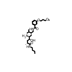 CCCCNC(=O)[C@H](C)C[C@H](O)[C@@H](N)C[C@H](CNC(=O)c1cccc(OCCCOC)c1)C(C)C